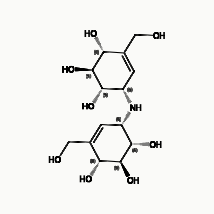 OCC1=C[C@H](N[C@H]2C=C(CO)[C@@H](O)[C@H](O)[C@H]2O)[C@H](O)[C@@H](O)[C@@H]1O